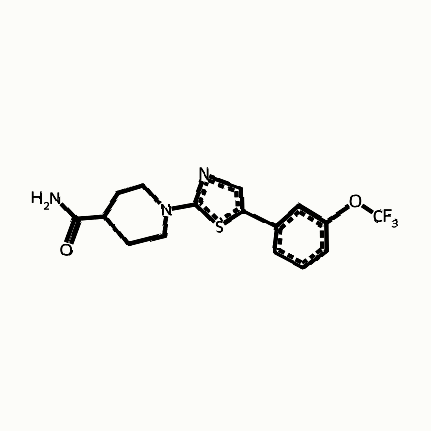 NC(=O)C1CCN(c2ncc(-c3cccc(OC(F)(F)F)c3)s2)CC1